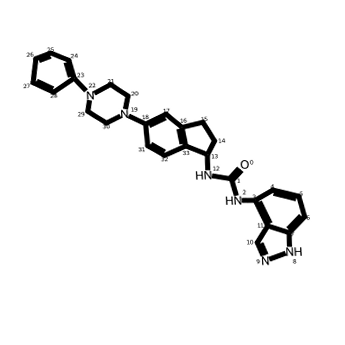 O=C(Nc1cccc2[nH]ncc12)NC1CCc2cc(N3CCN(c4ccccc4)CC3)ccc21